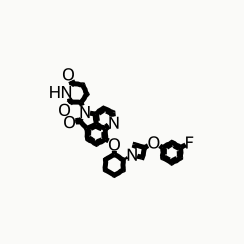 O=C1CCC(N2C(=O)c3ccc(OC4CCCC[C@@H]4N4CC(Oc5cccc(F)c5)C4)c4nccc2c34)C(=O)N1